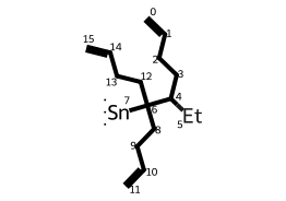 C=CCCC(CC)[C]([Sn])(CCC=C)CCC=C